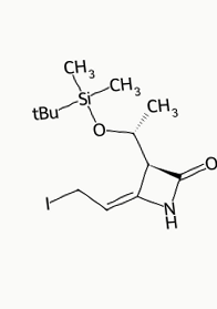 C[C@@H](O[Si](C)(C)C(C)(C)C)[C@H]1C(=O)N/C1=C/CI